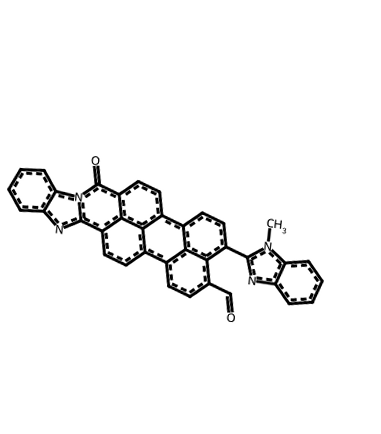 Cn1c(-c2ccc3c4ccc5c(=O)n6c7ccccc7nc6c6ccc(c7ccc(C=O)c2c37)c4c56)nc2ccccc21